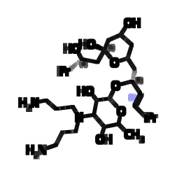 CC(C)/C=C/[C@@H](CC1CC(O)C[C@@](O)(C[C@@H](O)C(C)C)O1)OC1OC(C)C(O)C(N(CCCN)CCCN)C1O